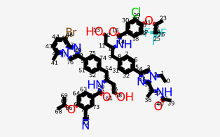 CCn1cc(-c2ccc(CC(CCO)NC(=O)c3ccc(OC(C)C(F)(F)F)c(Cl)c3)cc2)nc1C(C)NC(C)=O.Cc1ccc(Br)c2nc(-c3ccc(CC(CCO)NC(=O)c4ccc(OC(C)C)c(C#N)c4)cc3)cn12